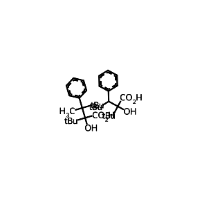 CC(C)(C)C(O)(C(=O)O)C(C)(c1ccccc1)C(C)(C)C.CC(C)(C)C(c1ccccc1)C(O)(C(=O)O)C(C)(C)C